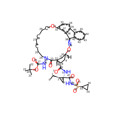 CC[C@@H]1C[C@]1(NC(=O)[C@@H]1C[C@@H]2C[C@H]1C(=O)N(NC(=O)OC(C)(C)C)CCCCCCCOc1ccc3c(c1)/C(=N\O2)c1ccccc1-3)C(=O)NS(=O)(=O)C1CC1